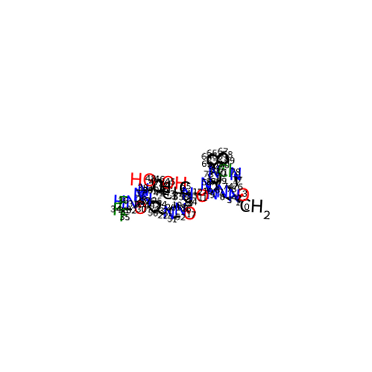 C=CC(=O)N1CCN(c2nc(OC[C@@H]3C[C@H](C(=O)N4CCN(Cc5ccc(-n6c(C(=O)NCC(F)(F)F)nnc6-c6cc(C)c(O)cc6O)cc5)CC4)CN3C)nc3c2CCN(c2cccc4cccc(Cl)c24)C3)C[C@@H]1CC#N